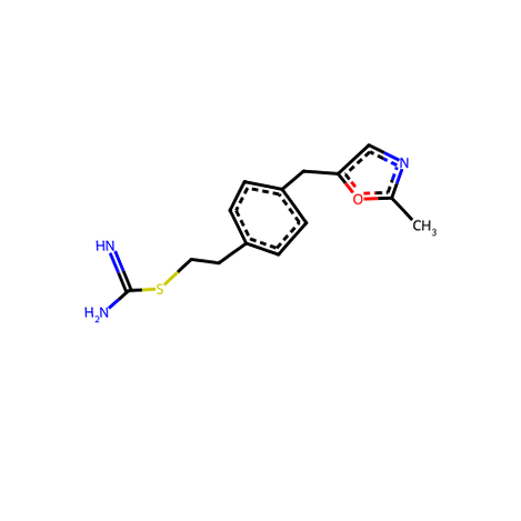 Cc1ncc(Cc2ccc(CCSC(=N)N)cc2)o1